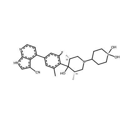 Cc1cc(-c2ccnc3[nH]cc(C#N)c23)cc(F)c1C1(O)[C@H](C)CN(C2CCS(O)(O)CC2)C[C@@H]1C